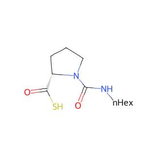 CCCCCCNC(=O)N1CCC[C@H]1C(=O)S